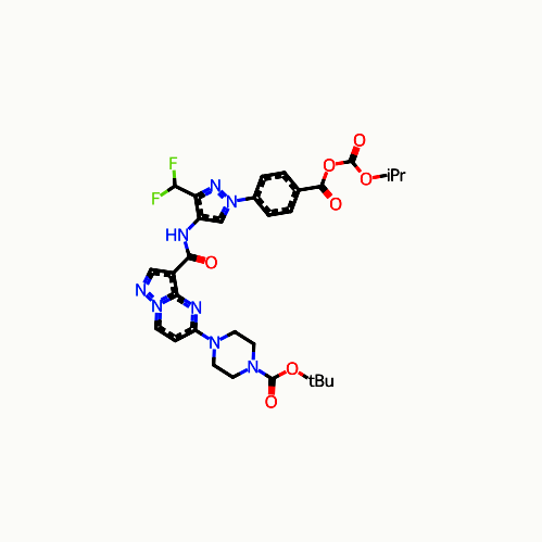 CC(C)OC(=O)OC(=O)c1ccc(-n2cc(NC(=O)c3cnn4ccc(N5CCN(C(=O)OC(C)(C)C)CC5)nc34)c(C(F)F)n2)cc1